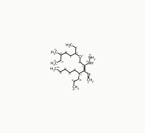 C=N/C(=C(/COC(CC)CCC(C)CC)NN)C(CCC)CCCCC